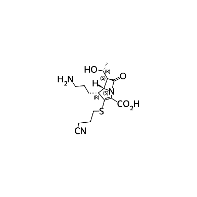 C[C@@H](O)[C@H]1C(=O)N2C(C(=O)O)=C(SCCCC#N)[C@H](CCCN)[C@H]12